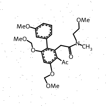 COCCN(C)C(=O)Cc1c(C(C)=O)c(OCOC)cc(OCOC)c1-c1cccc(OC)c1